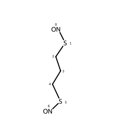 O=NSCCCSN=O